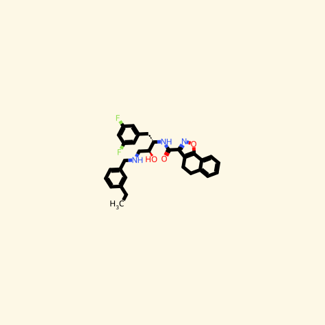 CCc1cccc(CNC[C@H](O)[C@H](Cc2cc(F)cc(F)c2)NC(=O)c2noc3c2CCc2ccccc2-3)c1